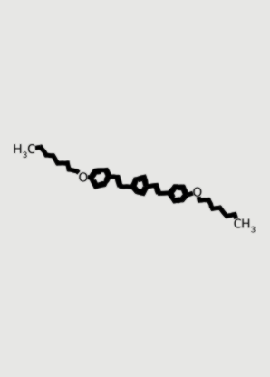 CCCCCCCCOc1ccc(/C=C/c2ccc(/C=C/c3ccc(OCCCCCCC)cc3)cc2)cc1